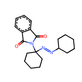 O=C1c2ccccc2C(=O)N1C1(N=NC2CCCCC2)CCCCC1